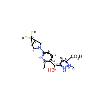 Cc1nc(N2CC3C(C2)C3(F)F)ccc1C(O)c1cc(C(=O)O)n(C)n1